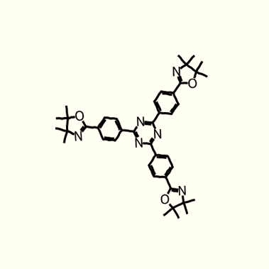 CC1(C)N=C(c2ccc(-c3nc(-c4ccc(C5=NC(C)(C)C(C)(C)O5)cc4)nc(-c4ccc(C5=NC(C)(C)C(C)(C)O5)cc4)n3)cc2)OC1(C)C